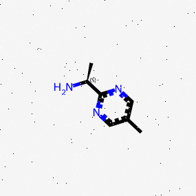 Cc1cnc([C@H](C)N)nc1